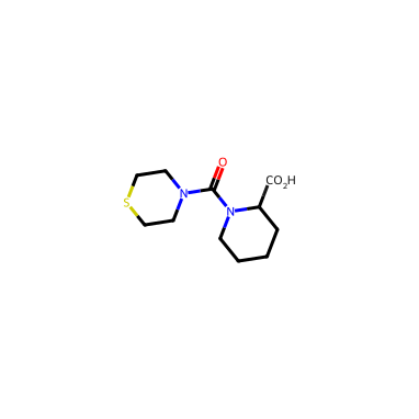 O=C(O)C1CCCCN1C(=O)N1CCSCC1